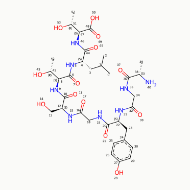 CC(C)C[C@H](NC(=O)[C@@H](NC(=O)[C@H](CO)NC(=O)CNC(=O)[C@H](Cc1ccc(O)cc1)NC(=O)CNC(=O)[C@H](C)N)[C@@H](C)O)C(=O)N[C@H](C(=O)O)[C@@H](C)O